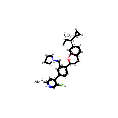 COc1cc(-c2ccc(C3CCc4ccc([C@H](C5CC5)[C@H](C)C(=O)O)cc4O3)c(CN3CCCC3)c2)c(F)cn1